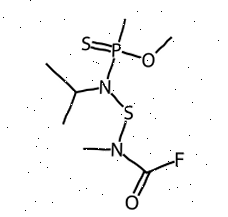 COP(C)(=S)N(SN(C)C(=O)F)C(C)C